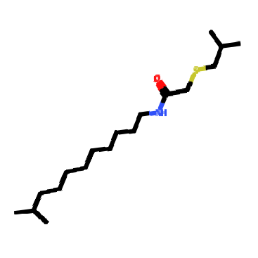 CC(C)CCCCCCCCCNC(=O)CSCC(C)C